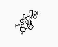 C[S+]([O-])NC1[C@H](Cc2cccc(-c3cc(F)cc(F)c3)n2)N(C(=O)C2(O)CCC2)CC1(F)F